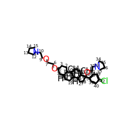 C[C@]12CC[C@H](OCCOCCN3CCCC3)C[C@H]1CC[C@@H]1[C@@H]2CC[C@@]2(C)[C@H]1CC[C@@]2(OCCN1CCCC1)c1ccc(Cl)cc1